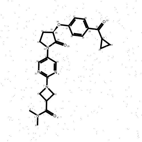 CN(C)C(=O)C1CN(c2ncc(N3CC[C@@H](Oc4ccc(C(=O)C5CC5)cc4)C3=O)cn2)C1